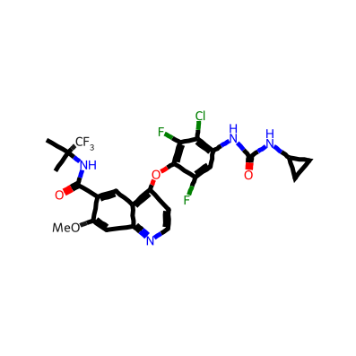 COc1cc2nccc(Oc3c(F)cc(NC(=O)NC4CC4)c(Cl)c3F)c2cc1C(=O)NC(C)(C)C(F)(F)F